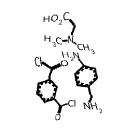 CN(C)CC(=O)O.NCc1ccc(N)cc1.O=C(Cl)c1cccc(C(=O)Cl)c1